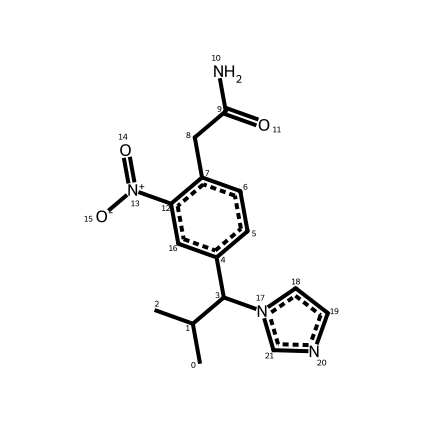 CC(C)C(c1ccc(CC(N)=O)c([N+](=O)[O-])c1)n1ccnc1